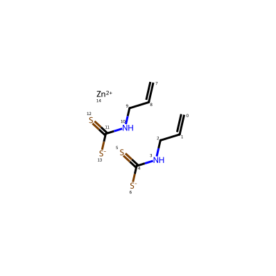 C=CCNC(=S)[S-].C=CCNC(=S)[S-].[Zn+2]